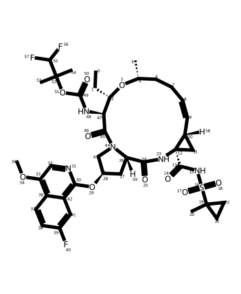 CC[C@@H]1O[C@H](C)CC/C=C\[C@@H]2C[C@@]2(C(=O)NS(=O)(=O)C2(C)CC2)NC(=O)[C@@H]2C[C@@H](Oc3ncc(OC)c4ccc(F)cc34)CN2C(=O)[C@H]1NC(=O)OC(C)(C)C(F)F